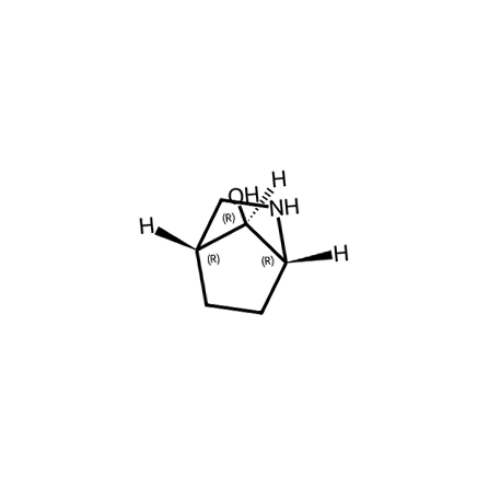 O[C@@H]1[C@@H]2CC[C@H]1NC2